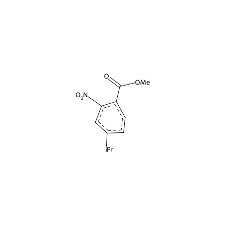 COC(=O)c1ccc(C(C)C)cc1[N+](=O)[O-]